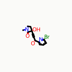 CN1CCC(O)(C#CC(=O)c2cccc(Br)n2)C1=O